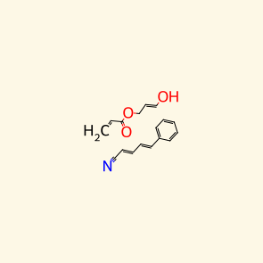 C=CC(=O)OCC=CO.N#CC=CC=Cc1ccccc1